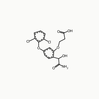 NC(=O)C(O)c1ccc(Oc2c(Cl)cccc2Cl)cc1OCCC(=O)O